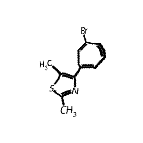 Cc1nc(-c2cccc(Br)c2)c(C)s1